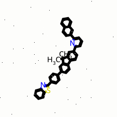 CC1(C)c2cc(-c3ccc(-c4nc5ccccc5s4)cc3)ccc2-c2ccc(-c3cccc(-c4ccc5ccccc5c4)n3)cc21